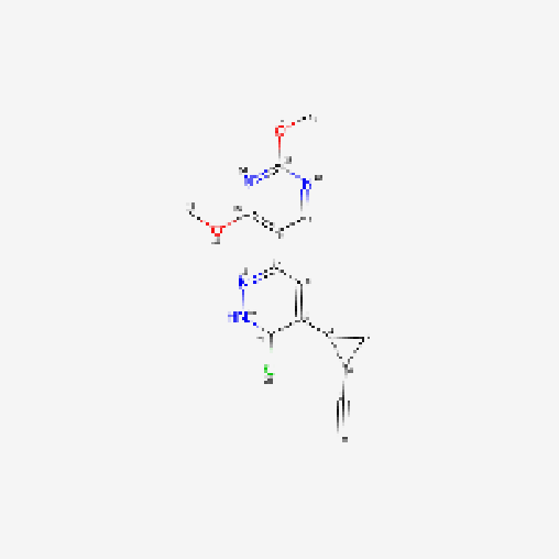 C#CC1CC1C1=CC(c2cnc(OC)nc2OC)=NNC1Cl